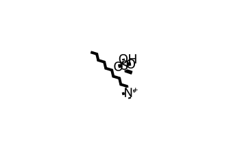 C=CS(=O)(=O)O.CCCCCCCCCC[N+](C)(C)C